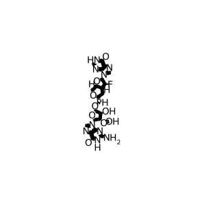 Nc1nc2c(ncn2[C@@H]2OC(OPC3C[C@H]4[C@H](F)[C@H](n5cnc6c(=O)[nH]cnc65)O[C@@H]4CO3)[C@@H](O)[C@H]2OO)c(=O)[nH]1